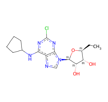 CC[C@@H]1O[C@H](n2cnc3c(NC4CCCC4)nc(Cl)nc32)[C@@H](O)[C@H]1O